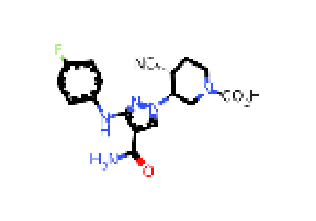 N#C[C@@H]1CCN(C(=O)O)C[C@H]1n1cc(C(N)=O)c(Nc2ccc(F)cc2)n1